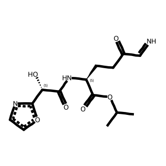 CC(C)OC(=O)[C@H](CCC(=O)C=N)NC(=O)[C@@H](O)c1ncco1